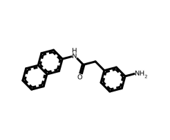 Nc1cccc(CC(=O)Nc2ccc3ccccc3c2)c1